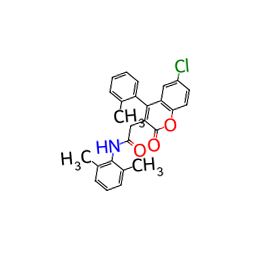 Cc1ccccc1-c1c(CC(=O)Nc2c(C)cccc2C)c(=O)oc2ccc(Cl)cc12